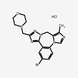 Cc1ncn2c1Cn1nc(CN3CCOCC3)nc1-c1cc(Br)ccc1-2.Cl